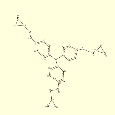 c1cc(C(c2ccc(OCC3CO3)cc2)c2ccc(OCC3CO3)cc2)ccc1COC1CO1